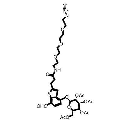 CC(=O)OC[C@H]1O[C@@H](Oc2ccc(C=O)c3sc(CCC(=O)NCCOCCOCCOCCN=[N+]=[N-])cc23)[C@H](OC(C)=O)[C@@H](OC(C)=O)[C@H]1OC(C)=O